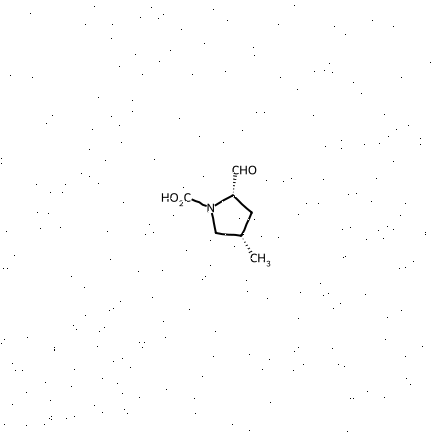 C[C@H]1C[C@@H](C=O)N(C(=O)O)C1